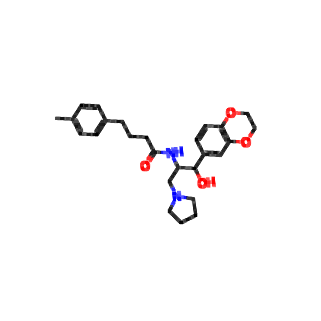 Cc1ccc(CCCC(=O)NC(CN2CCCC2)C(O)c2ccc3c(c2)OCCO3)cc1